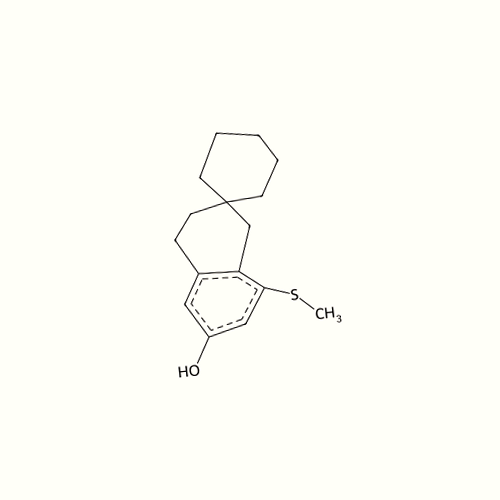 CSc1cc(O)cc2c1CC1(CCCCC1)CC2